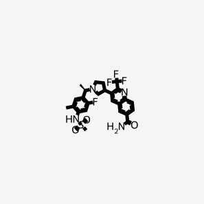 Cc1cc([C@@H](C)N2CCC(c3cc4cc(C(N)=O)ccc4nc3C(F)(F)F)C2)c(F)cc1NS(C)(=O)=O